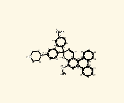 COc1ccc(C2(c3ccc(N4CCOCC4)cc3)C=Cc3c(c(OC(C)C)cc4c5ccccc5c5ccccc5c34)O2)cc1